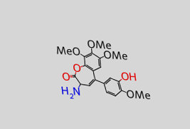 COc1ccc(C2=CC(N)C(=O)Oc3c2cc(OC)c(OC)c3OC)cc1O